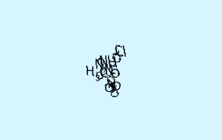 CC(c1ncc[nH]1)N(CCc1ccc(Cl)cc1)C(=O)C1(Cc2ccccc2)CCN(S(=O)(=O)c2ccccc2)CC1